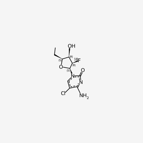 CC[C@@H]1O[C@H](n2cc(Cl)c(N)nc2=O)[C@H]([18F])[C@@H]1O